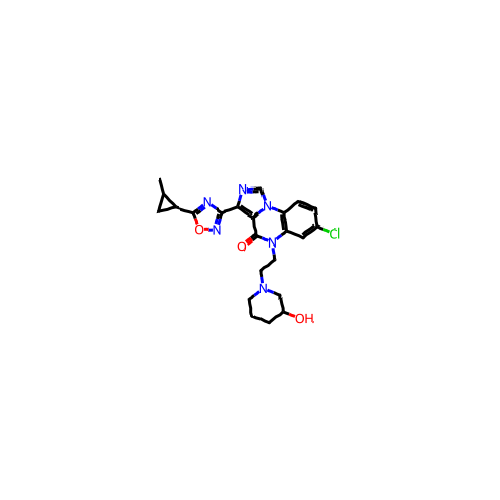 CC1CC1c1nc(-c2ncn3c2c(=O)n(CCN2CCCC(O)C2)c2cc(Cl)ccc23)no1